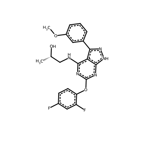 COc1cccc(-c2n[nH]c3nc(Oc4ccc(F)cc4F)nc(NC[C@H](C)O)c23)c1